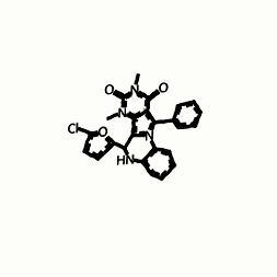 Cn1c(=O)c2c(-c3ccccc3)n3c(c2n(C)c1=O)C(c1ccc(Cl)o1)Nc1ccccc1-3